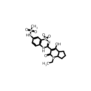 CCN1C(=O)C(C2=NS(=O)(=O)c3cc(NS(C)(=O)=O)ccc3N2)=C(O)C2CCCC21